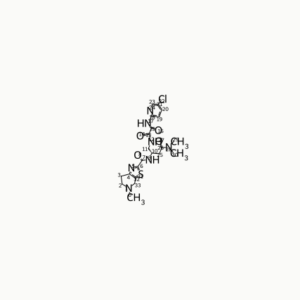 CN1CCc2nc(C(=O)N[C@@H](CNC(=O)C(=O)Nc3ccc(Cl)cn3)CC(=O)N(C)C)sc2C1